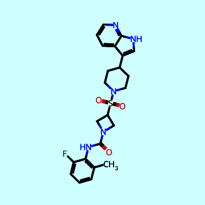 Cc1cccc(F)c1NC(=O)N1CC(S(=O)(=O)N2CCC(c3c[nH]c4ncccc34)CC2)C1